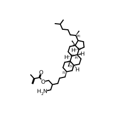 C=C(C)C(=O)OCC(CN)CCC[C@H]1CC[C@@]2(C)[C@@H](CC[C@@H]3[C@@H]2CC[C@]2(C)C([C@H](C)CCCC(C)C)CC[C@@H]32)C1